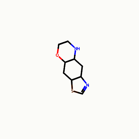 C1=NC2CC3NCCOC3CC2S1